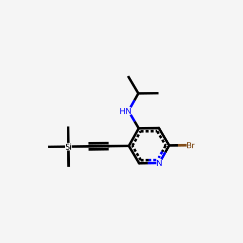 CC(C)Nc1cc(Br)ncc1C#C[Si](C)(C)C